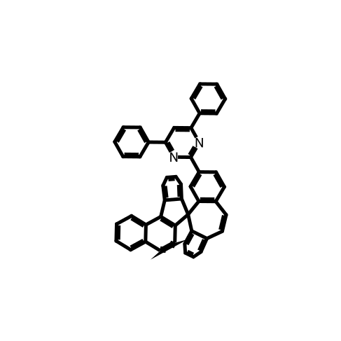 C1=Cc2ccc(-c3nc(-c4ccccc4)cc(-c4ccccc4)n3)cc2C2(c3ccccc31)c1ccccc1-c1c2c2ccccc2c2ccccc12